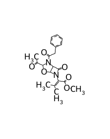 COC(=O)C(=C(C)C)N1C(=O)C2C1OC(C(C)=O)N2C(=O)Cc1ccccc1